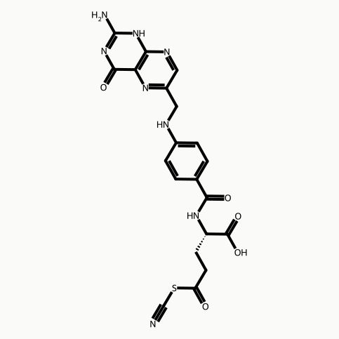 N#CSC(=O)CC[C@H](NC(=O)c1ccc(NCc2cnc3[nH]c(N)nc(=O)c3n2)cc1)C(=O)O